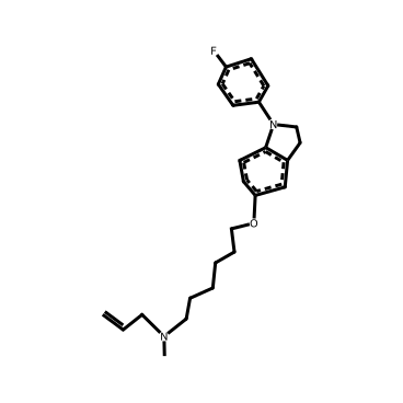 C=CCN(C)CCCCCCOc1ccc2c(c1)CCN2c1ccc(F)cc1